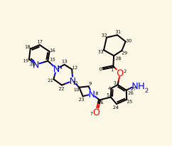 C=C(Oc1cc(C(=O)N2CC(N3CCN(c4ccccn4)CC3)C2)ccc1N)C1CCCCC1